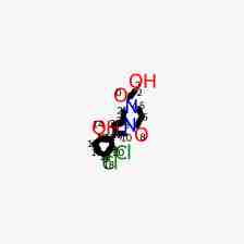 O=C(CO)N1CCC(=O)N2C[C@@H](c3c(O)ccc(Cl)c3Cl)C=C2C1